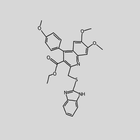 CCOC(=O)c1c(CSc2nc3ccccc3[nH]2)nc2cc(OC)c(OC)cc2c1-c1ccc(OC)cc1